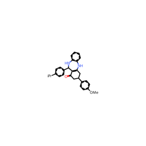 COc1ccc(C2CC(=O)C3=C(C2)Nc2ccccc2NC3c2ccc(C(C)C)cc2)cc1